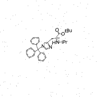 CC(C)N[C@@H](Cc1cn(C(c2ccccc2)(c2ccccc2)c2ccccc2)cn1)C(=O)OC(C)(C)C